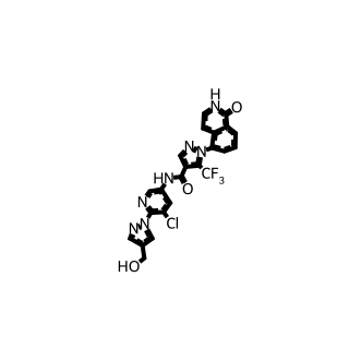 O=C(Nc1cnc(-n2cc(CO)cn2)c(Cl)c1)c1cnn(-c2cccc3c(=O)[nH]ccc23)c1C(F)(F)F